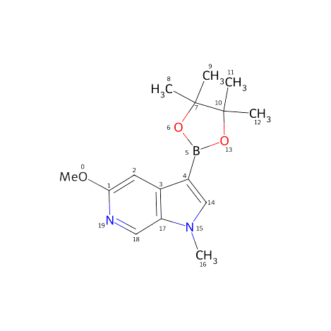 COc1cc2c(B3OC(C)(C)C(C)(C)O3)cn(C)c2cn1